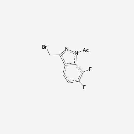 CC(=O)n1nc(CBr)c2ccc(F)c(F)c21